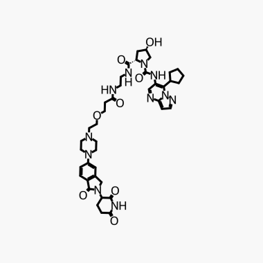 O=C(CCOCCN1CCN(c2ccc3c(c2)CN(C2CCC(=O)NC2=O)C3=O)CC1)NCCNC(=O)[C@@H]1C[C@@H](O)CN1C(=O)Nc1cnc2ccnn2c1C1CCCC1